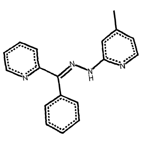 Cc1ccnc(N/N=C(\c2ccccc2)c2ccccn2)c1